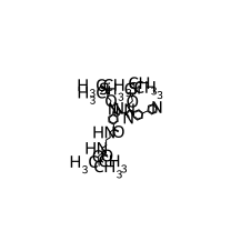 CC(C)(C)OC(=O)NCCCNC(=O)c1ccc2c(c1)c(-c1nc3ccc(-c4ccncc4)cc3n1COCC[Si](C)(C)C)nn2COCC[Si](C)(C)C